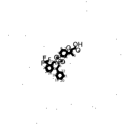 Cc1c(C(=O)O)oc2ccc(S(=O)(=O)N(CCc3ccccc3)Cc3ccccc3C(F)(F)F)cc12